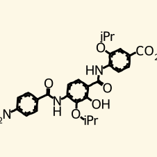 CC(C)Oc1cc(C(=O)O)ccc1NC(=O)c1ccc(NC(=O)c2ccc(N)cc2)c(OC(C)C)c1O